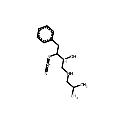 CC(C)CNC[C@H](O)C(Cc1ccccc1)N=[N+]=[N-]